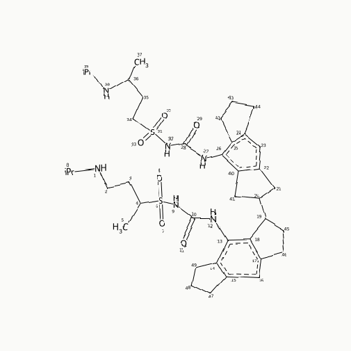 CC(C)NCCC(C)S(=O)(=O)NC(=O)Nc1c2c(cc3c1C(C1Cc4cc5c(c(NC(=O)NS(=O)(=O)CCC(C)NC(C)C)c4C1)CCC5)CC3)CCC2